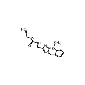 C#CCOC(=O)NCc1cn(Cc2ccccc2OC)nn1